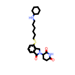 O=C1CCC(N2Cc3c(SCCCCCCNC4CCCCC4)cccc3C2=O)C(=O)N1